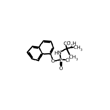 CC(C)(NP(=O)(Cl)Oc1cccc2ccccc12)C(=O)O